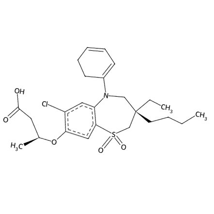 CCCC[C@]1(CC)CN(C2=CC=CCC2)c2cc(Cl)c(O[C@@H](C)CC(=O)O)cc2S(=O)(=O)C1